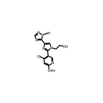 COc1cc(Cl)c(-c2nc(-c3ncnn3C(C)C)cn2CCO)cn1